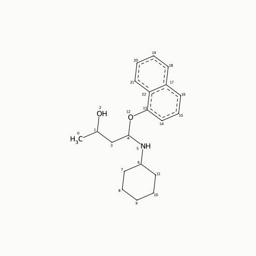 CC(O)CC(NC1CCCCC1)Oc1cccc2ccccc12